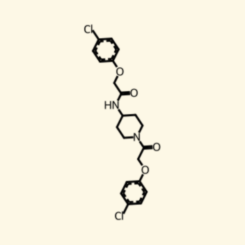 O=C(COc1ccc(Cl)cc1)NC1CCN(C(=O)COc2ccc(Cl)cc2)CC1